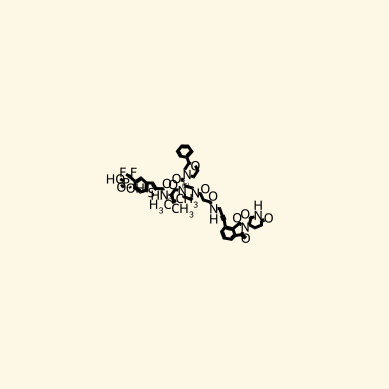 CC(C)(C)[C@H](NC(=O)c1cc2cc(C(F)(F)P(=O)(O)O)ccc2s1)C(=O)N1CCN(C(=O)CC(=O)NCC#Cc2cccc3c2C(=O)N(C2CCC(=O)NC2=O)C3=O)C[C@H]1C(=O)N1CCOC(c2ccccc2)C1